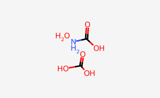 NC(=O)O.O.O=C(O)O